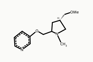 COC[C@H]1CC(COc2cccnc2)N(C)C1